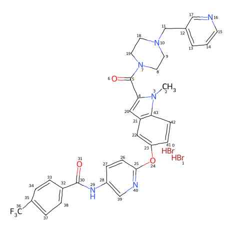 Br.Br.Cn1c(C(=O)N2CCN(Cc3cccnc3)CC2)cc2cc(Oc3ccc(NC(=O)c4ccc(C(F)(F)F)cc4)cn3)ccc21